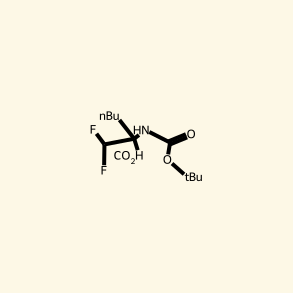 CCCCC(NC(=O)OC(C)(C)C)(C(=O)O)C(F)F